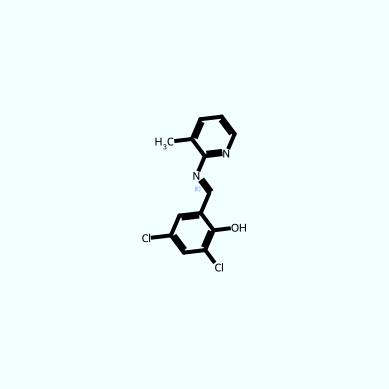 Cc1cccnc1/N=C/c1cc(Cl)cc(Cl)c1O